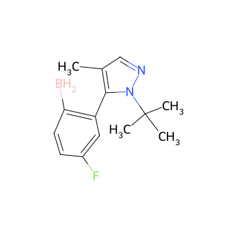 Bc1ccc(F)cc1-c1c(C)cnn1C(C)(C)C